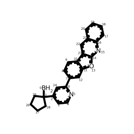 BC1(c2ccnc(-c3ccc4c(c3)oc3nc5ccccc5cc34)c2)CCCC1